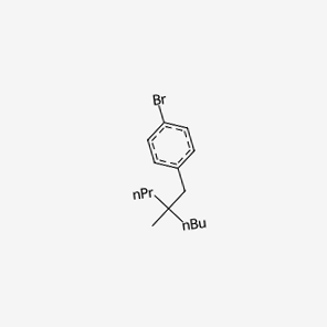 CCCCC(C)(CCC)Cc1ccc(Br)cc1